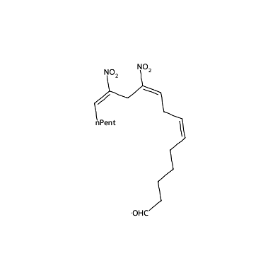 CCCCC/C=C(\C/C(=C\C/C=C\CCCC[C]=O)[N+](=O)[O-])[N+](=O)[O-]